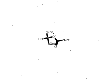 CCCCCCCC[CH]C(O)(CCCCCCCC)OC(=O)CCCCCCCC